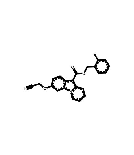 Cc1ccccc1COC(=O)c1c2ccc(OCC#N)cc2n2ccccc12